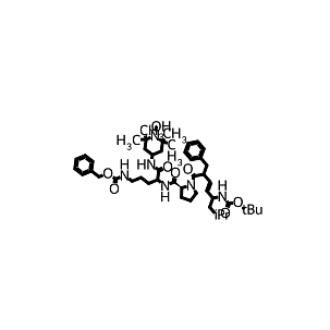 CC(C)CC(/C=C/C(Cc1ccccc1)C(=O)N1CCC[C@H]1C(=O)NC(CCCNC(=O)OCc1ccccc1)C(=O)NC1CC(C)(C)N(O)C(C)(C)C1)NC(=O)OC(C)(C)C